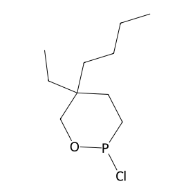 CCCCC1(CC)CCP(Cl)OC1